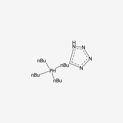 CCCC[PH](CCCC)(CCCC)CCCC.c1nnn[nH]1